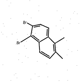 Cc1ccc2c(Br)c(Br)ccc2c1C